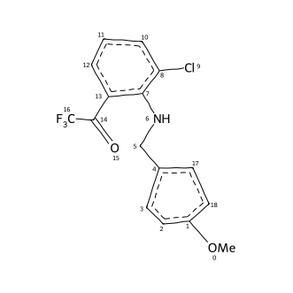 COc1ccc(CNc2c(Cl)cccc2C(=O)C(F)(F)F)cc1